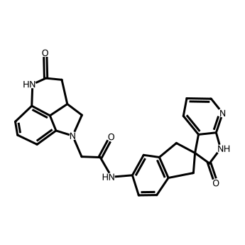 O=C(CN1CC2CC(=O)Nc3cccc1c32)Nc1ccc2c(c1)CC1(C2)C(=O)Nc2ncccc21